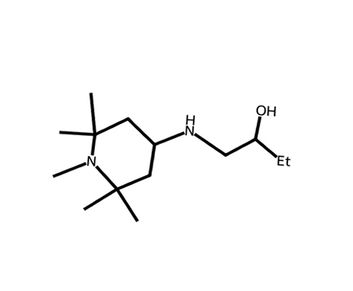 CCC(O)CNC1CC(C)(C)N(C)C(C)(C)C1